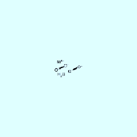 O.[Ni+4].[O-][O-].[O-][O-]